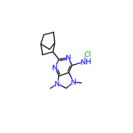 CN1CN(C)c2c(NCl)nc(C3CC4CCC3C4)nc21